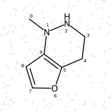 CN1NCCc2occc21